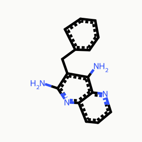 Nc1nc2cccnc2c(N)c1Cc1ccccc1